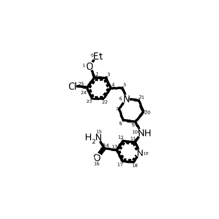 CCOc1cc(CN2CCC(Nc3cc(C(N)=O)ccn3)CC2)ccc1Cl